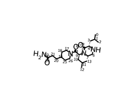 CC(C)C[C@@H]1NCCN([C@@H](CC(C)C)C(=O)N2CCC(CCC(N)=O)CC2)C1=O